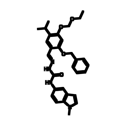 CCOCOc1cc(OCc2ccccc2)c(C=NNC(=O)Nc2ccc3c(ccn3C)c2)cc1C(C)C